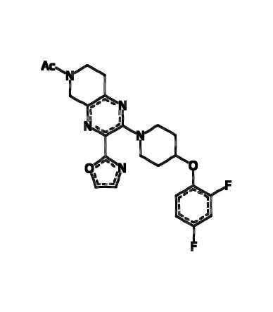 CC(=O)N1CCc2nc(N3CCC(Oc4ccc(F)cc4F)CC3)c(-c3ncco3)nc2C1